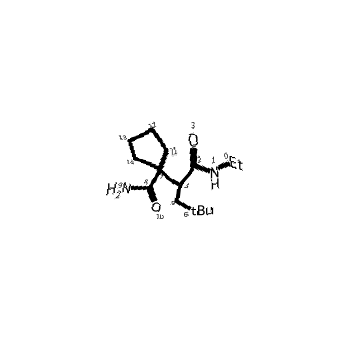 CCNC(=O)C(CC(C)(C)C)C1(C(N)=O)CCCC1